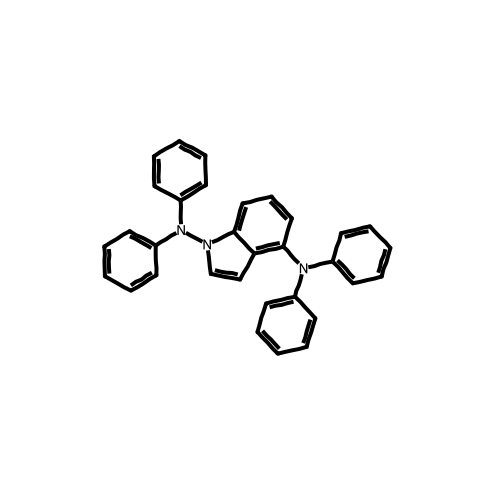 c1ccc(N(c2ccccc2)c2cccc3c2ccn3N(c2ccccc2)c2ccccc2)cc1